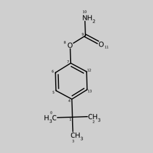 CC(C)(C)c1ccc(OC(N)=O)cc1